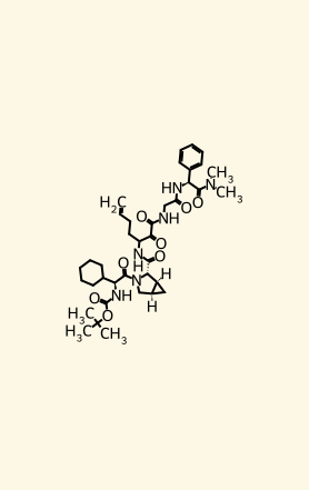 C=CCCC(NC(=O)[C@@H]1[C@H]2C[C@H]2CN1C(=O)[C@@H](NC(=O)OC(C)(C)C)C1CCCCC1)C(=O)C(=O)NCC(=O)N[C@H](C(=O)N(C)C)c1ccccc1